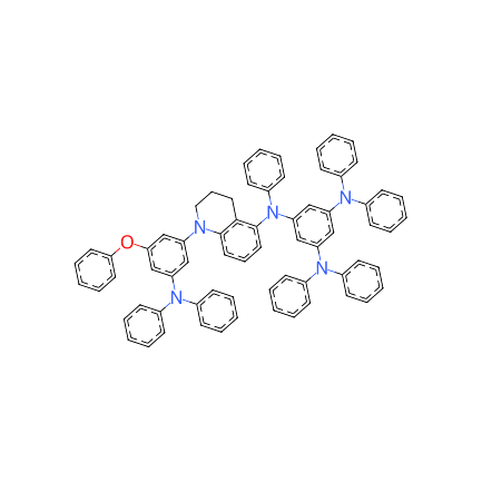 c1ccc(Oc2cc(N3CCCc4c3cccc4N(c3ccccc3)c3cc(N(c4ccccc4)c4ccccc4)cc(N(c4ccccc4)c4ccccc4)c3)cc(N(c3ccccc3)c3ccccc3)c2)cc1